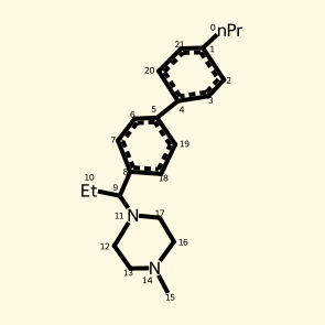 CCCc1ccc(-c2ccc(C(CC)N3CCN(C)CC3)cc2)cc1